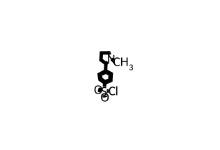 CN1CCCC1c1ccc(S(=O)(=O)Cl)cc1